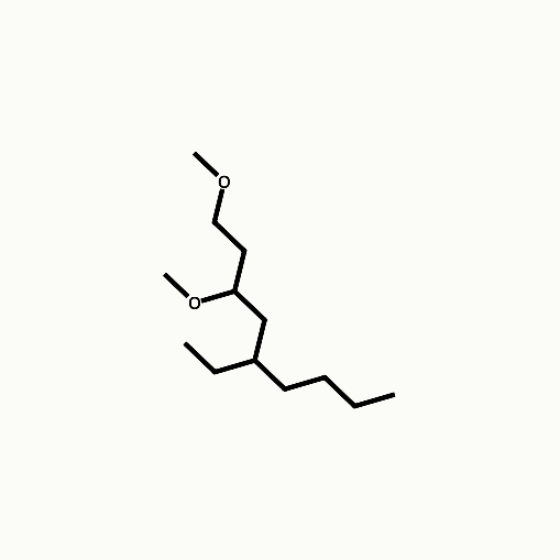 CCCCC(CC)CC(CCOC)OC